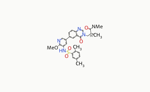 CNC(=O)[C@@H](C)Cn1cnc2ccc(-c3cnc(OC)c(NS(=O)(=O)c4cc(C)ccc4C)c3)cc2c1=O